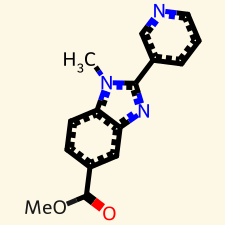 COC(=O)c1ccc2c(c1)nc(-c1cccnc1)n2C